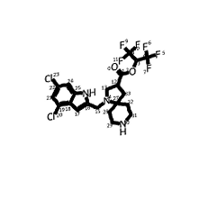 O=C(OC(C(F)(F)F)C(F)(F)F)C1CN(Cc2cc3c(Cl)cc(Cl)cc3[nH]2)C2(CCNCC2)C1